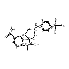 O=C(O)c1ccc2c(c1)C1(CCC(Oc3ccc(C(F)(F)F)cn3)CC1)C(=O)N2